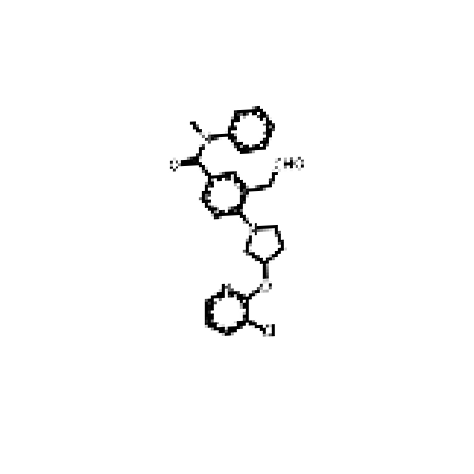 CN(C(=O)c1ccc(N2CCC(Oc3ncccc3Cl)C2)c(CC=O)c1)c1ccccc1